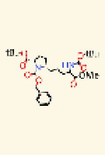 COC(=O)C(CCC[C@H]1CC[C@@H](C(=O)OC(C)(C)C)N1C(=O)OCc1ccccc1)NC(=O)OC(C)(C)C